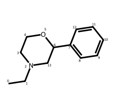 CCN1CCOC(c2ccccc2)C1